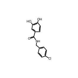 O=C(NCc1ccc(Cl)cc1)c1ccc(O)c(O)c1